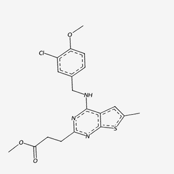 COC(=O)CCc1nc(NCc2ccc(OC)c(Cl)c2)c2cc(C)sc2n1